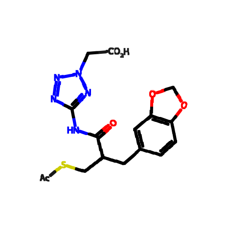 CC(=O)SCC(Cc1ccc2c(c1)OCO2)C(=O)Nc1nnn(CC(=O)O)n1